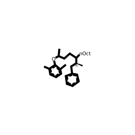 CCCCCCCCC(CCC(C)Oc1c(C)cccc1C)[C@@H](C)Cc1ccccc1